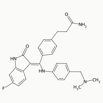 CN(C)Cc1ccc(NC(=C2C(=O)Nc3cc(F)ccc32)c2ccc(CCC(N)=O)cc2)cc1